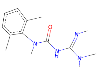 CN=C(NC(=O)N(C)c1c(C)cccc1C)N(C)C